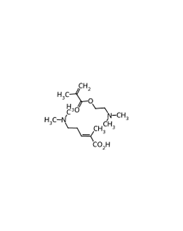 C=C(C)C(=O)OCCN(C)C.CC(=CCCN(C)C)C(=O)O